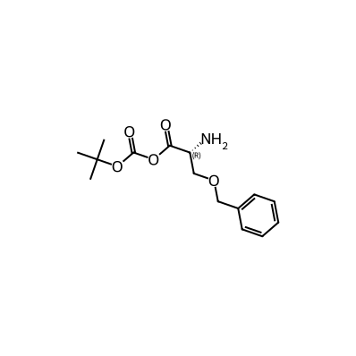 CC(C)(C)OC(=O)OC(=O)[C@H](N)COCc1ccccc1